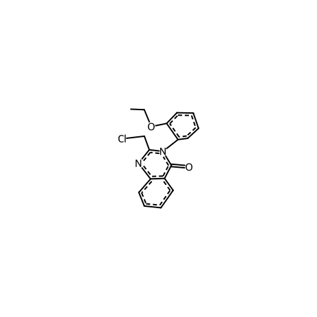 CCOc1ccccc1-n1c(CCl)nc2ccccc2c1=O